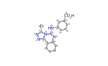 CCc1nnc2c3ccccc3nc(Nc3cccc(C(=O)O)c3)n12